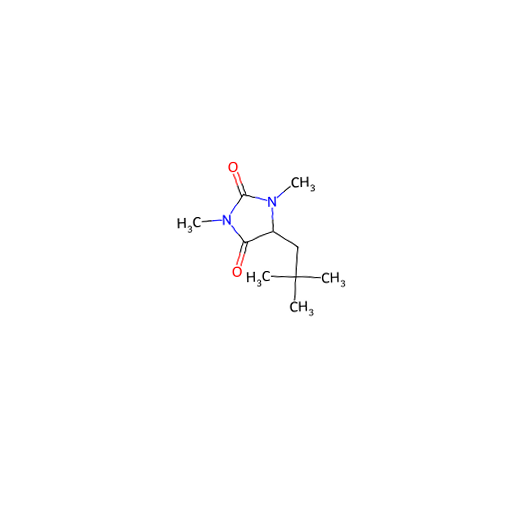 CN1C(=O)C(CC(C)(C)C)N(C)C1=O